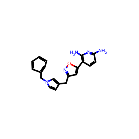 Nc1ccc(-c2cc(Cc3ccn(Cc4ccccc4)c3)no2)c(N)n1